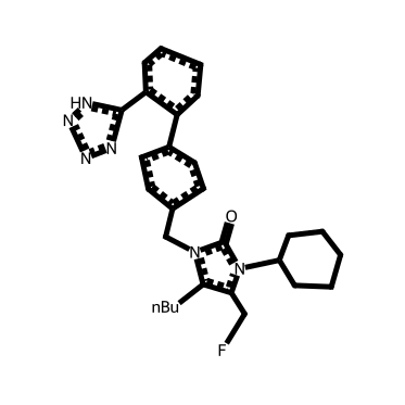 CCCCc1c(CF)n(C2CCCCC2)c(=O)n1Cc1ccc(-c2ccccc2-c2nnn[nH]2)cc1